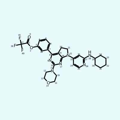 O=C(Oc1cccc(-c2nc(N3CCOCC3)nc3c2CCN3c2ccnc(NC3CCCCC3)c2)c1)C(F)(F)F